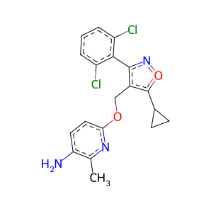 Cc1nc(OCc2c(-c3c(Cl)cccc3Cl)noc2C2CC2)ccc1N